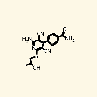 CC(O)CSc1nc(N)c(C#N)c(-c2ccc(C(N)=O)cc2)c1C#N